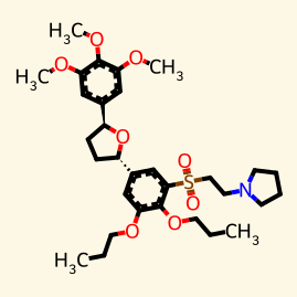 CCCOc1cc([C@@H]2CC[C@@H](c3cc(OC)c(OC)c(OC)c3)O2)cc(S(=O)(=O)CCN2CCCC2)c1OCCC